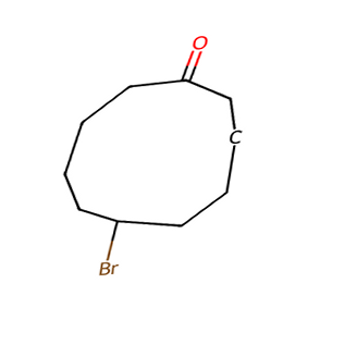 O=C1CCCCC(Br)CCCC1